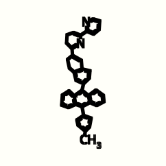 Cc1ccc(-c2c3ccccc3c(-c3ccc4c(c3)CCC(C3=NC(c5ccccn5)=CCC3)=C4)c3ccccc23)cc1